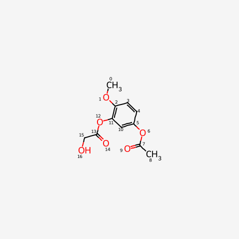 COc1ccc(OC(C)=O)cc1OC(=O)CO